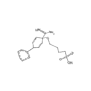 N=C(N)C1(OCCCCS(=O)(=O)O)C=CC(c2ccccc2)C=C1